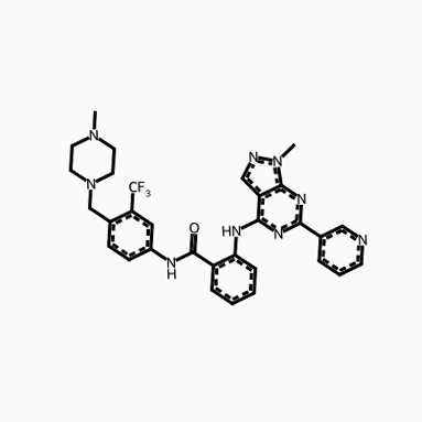 CN1CCN(Cc2ccc(NC(=O)c3ccccc3Nc3nc(-c4cccnc4)nc4c3cnn4C)cc2C(F)(F)F)CC1